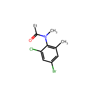 CCC(=O)N(C)c1c(C)cc(Br)cc1Cl